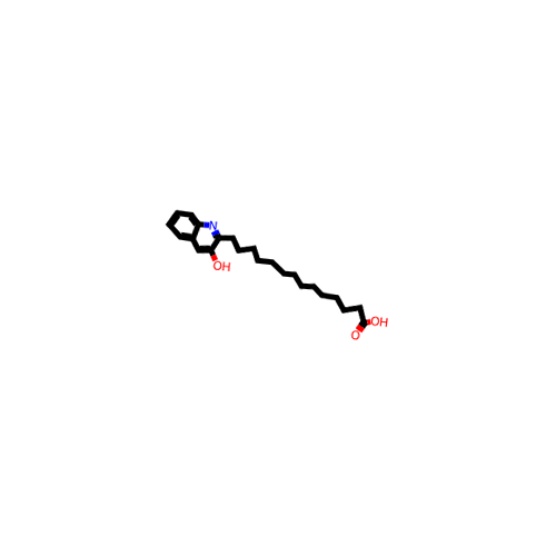 O=C(O)CCCCCCCCCCCCCc1nc2ccccc2cc1O